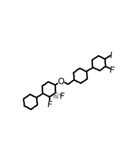 FC1CC(C2CCC(COC3CCC(C4CCCCC4)C(F)[C@H]3F)CC2)CCC1I